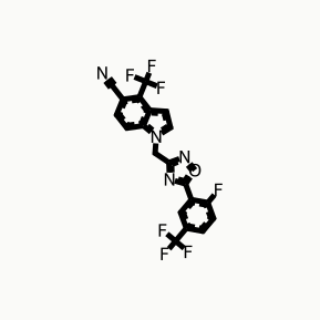 N#Cc1ccc2c(ccn2Cc2noc(-c3cc(C(F)(F)F)ccc3F)n2)c1C(F)(F)F